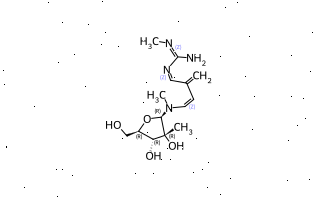 C=C(/C=C\N(C)[C@@H]1O[C@H](CO)[C@@H](O)[C@@]1(C)O)/C=N\C(N)=N/C